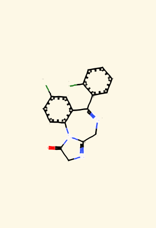 O=C1CN=C2CN=C(c3ccccc3Cl)c3cc(Cl)ccc3N12